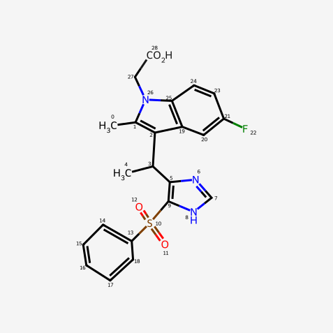 Cc1c(C(C)c2nc[nH]c2S(=O)(=O)c2ccccc2)c2cc(F)ccc2n1CC(=O)O